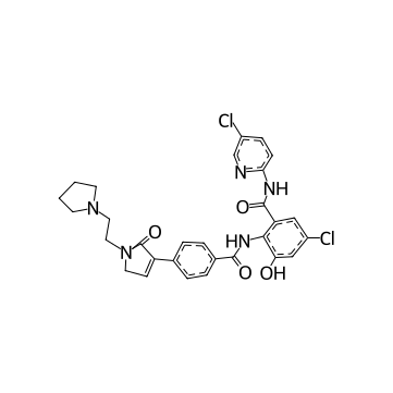 O=C(Nc1c(O)cc(Cl)cc1C(=O)Nc1ccc(Cl)cn1)c1ccc(C2=CCN(CCN3CCCC3)C2=O)cc1